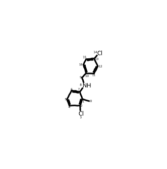 Cc1c(Cl)cccc1NCc1ccc(Cl)cc1